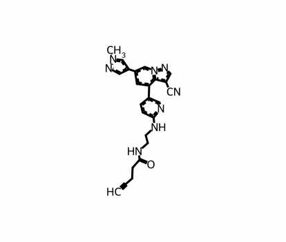 C#CCCC(=O)NCCNc1ccc(-c2cc(-c3cnn(C)c3)cn3ncc(C#N)c23)cn1